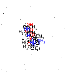 CC[C@H](C)[C@@H]([C@@H](CC(=O)N1CCC[C@H]1[C@H](OC)[C@@H](C)C(=O)N[C@H](C)[C@H](O)c1ccccc1)OC)N(C)C(=O)[C@@H](NC(=O)[C@H](C(C)C)N(C)Cc1ccnc(N)c1)C(C)C